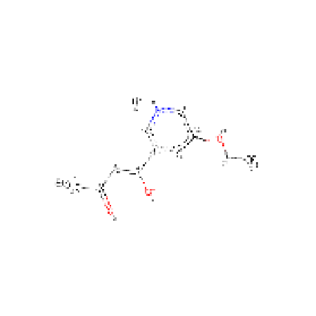 CCOC(=O)C(=O)C=C([O-])c1cncc(OCC(F)(F)F)c1.[Li+]